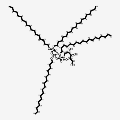 CCCCCCCCCCCCCCCCCCOP(=O)(OCCCCCCCCCCCCCCCCCC)OP(=O)(OCCCCCCCCCCCCCCCCCC)OP(=O)(OCCCCCCCCCCCCCCCCCC)OC[C@H](O)[C@@H](O)[C@H](O)CO